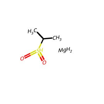 CC(C)[SH](=O)=O.[MgH2]